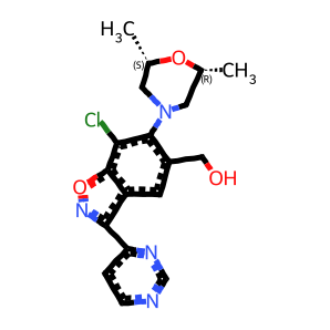 C[C@@H]1CN(c2c(CO)cc3c(-c4ccncn4)noc3c2Cl)C[C@H](C)O1